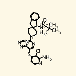 CC(C)(C)[S+]([O-])N[C@@H]1c2ccccc2CC12CCN(c1ncc(Sc3ccnc(N)c3Cl)c3nncn13)CC2